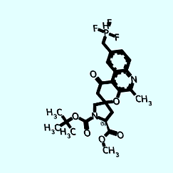 COC(=O)[C@@H]1CC2(CC(=O)c3c(c(C)nc4ccc(C[PH](F)(F)F)cc34)O2)CN1C(=O)OC(C)(C)C